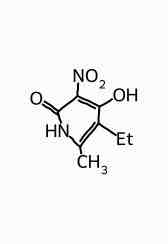 CCc1c(C)[nH]c(=O)c([N+](=O)[O-])c1O